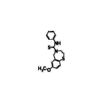 COc1ccc2c(c1)CN(C(=S)Nc1ccccc1)CCS2